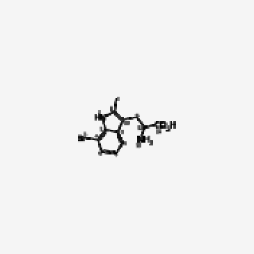 Cc1[nH]c2c(Br)cccc2c1CC(N)C(=O)O